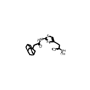 O=C(Cc1csc(NC(=O)CC23CC4CC(CC(C4)C2)C3)n1)NO